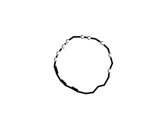 C1=C\CCCCCCCCCCCCCCCCCC/C=C/C=C/1